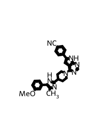 COc1cccc(-c2[nH]c(C3CCN(c4ncnc5[nH]c(-c6ccc(C#N)cc6)cc45)CC3)nc2C)c1